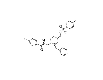 Cc1ccc(S(=O)(=O)OC[C@@H]2CC[C@H](CNC(=O)c3ccc(F)cc3)N(Cc3ccccc3)C2)cc1